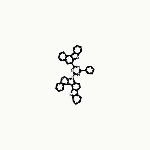 c1ccc(-c2nc(-c3cc4ccccc4c4c3sc3ccccc34)nc(-n3c4ccc5ccccc5c4c4c5sc6ccccc6c5ccc43)n2)cc1